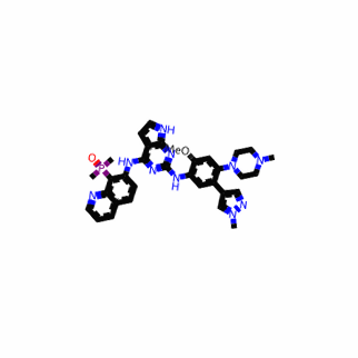 COc1cc(N2CCN(C)CC2)c(-c2cnn(C)c2)cc1Nc1nc(Nc2ccc3cccnc3c2P(C)(C)=O)c2cc[nH]c2n1